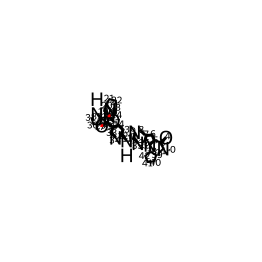 CN(C)C(=O)c1cc2cnc(Nc3ccc(C(=O)N4CC5CCC(C4)N5C(=O)C4CCCN4)cn3)nc2n1C1CCCC1